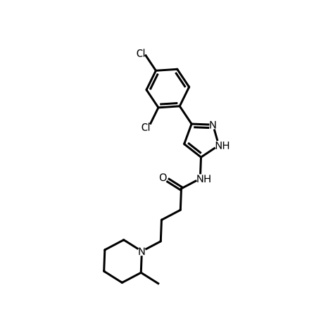 CC1CCCCN1CCCC(=O)Nc1cc(-c2ccc(Cl)cc2Cl)n[nH]1